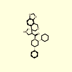 O=C(C1CNC[C@]12COCc1c2ccc2c1OCO2)N1CC[C@@H](c2ccccc2)C[C@H]1C1CCCCC1